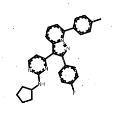 Cc1ccc(-c2cccc3c(-c4ccnc(NC5CCCC5)n4)c(-c4ccc(F)cc4)nn23)cc1